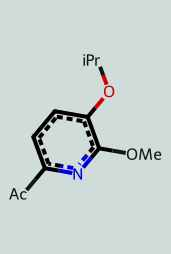 COc1nc(C(C)=O)ccc1OC(C)C